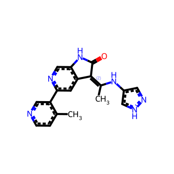 C/C(Nc1cn[nH]c1)=C1/C(=O)Nc2cnc(-c3cnccc3C)cc21